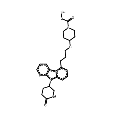 CC(C)(C)OC(=O)N1CCC(OCCCc2cccc3c2c2cccnc2n3C2CCC(=O)NC2)CC1